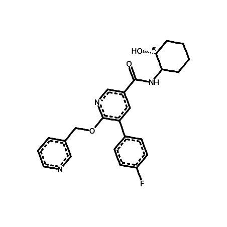 O=C(NC1CCCC[C@H]1O)c1cnc(OCc2cccnc2)c(-c2ccc(F)cc2)c1